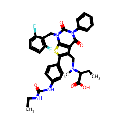 CCNC(=O)Nc1ccc(-c2sc3c(c2CN(C)C(CC)C(=O)O)c(=O)n(-c2ccccc2)c(=O)n3Cc2c(F)cccc2F)cc1